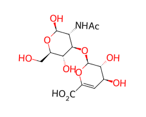 CC(=O)N[C@@H]1[C@@H](O[C@@H]2OC(C(=O)O)=C[C@H](O)[C@H]2O)[C@H](O)[C@@H](CO)O[C@H]1O